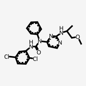 COCC(C)Nc1nccc(N(C(=O)Nc2cc(Cl)ccc2Cl)c2ccccc2)n1